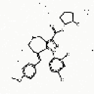 COc1ccc(/C=C2\CCCCc3c(C(=O)N[C@@H]4CCC[C@H]4O)nn(-c4ccc(Cl)cc4Cl)c32)cc1